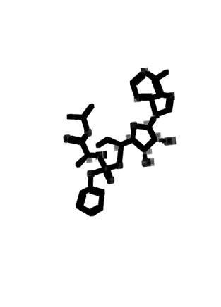 CC[C@H](OP(=O)(N[C@@H](C)C(=O)OC(C)C)Oc1ccccc1)[C@H]1O[C@@H](n2cnc3c(C)ncnc32)[C@H](O)[C@@H]1O